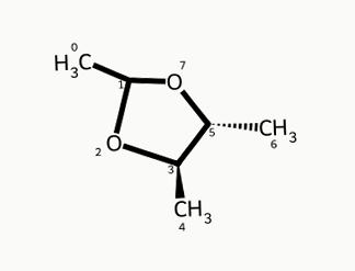 CC1O[C@H](C)[C@@H](C)O1